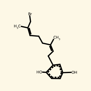 CC(=CCCC(C)=CCc1cc(O)ccc1O)CBr